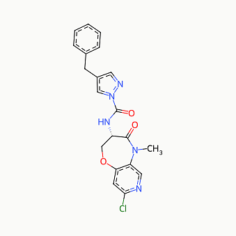 CN1C(=O)[C@@H](NC(=O)n2cc(Cc3ccccc3)cn2)COc2cc(Cl)ncc21